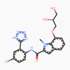 Cn1c(C(=O)Nc2ccc(Cl)cc2-c2nnn[nH]2)cc2cccc(OC[C@@H](O)CO)c21